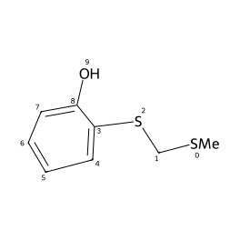 CSCSc1ccccc1O